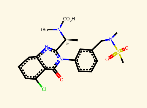 C[C@@H](c1nc2cccc(Cl)c2c(=O)n1-c1cccc(CN(C)S(C)(=O)=O)c1)N(C(=O)O)C(C)(C)C